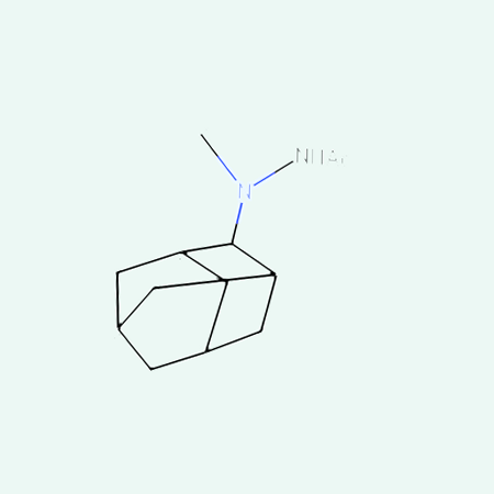 CC(=O)NN(C)C1C2CC3CC(C2)CC1C3